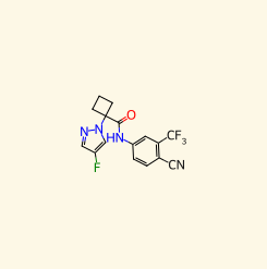 N#Cc1ccc(NC(=O)C2(n3cc(F)cn3)CCC2)cc1C(F)(F)F